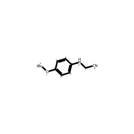 CC(C)(C)Oc1ccc(NCC#N)cc1